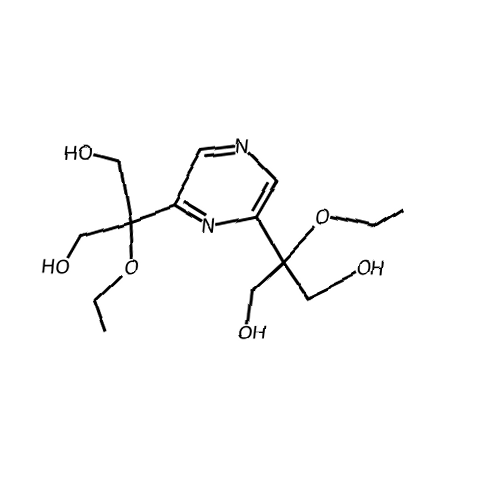 CCOC(CO)(CO)c1cncc(C(CO)(CO)OCC)n1